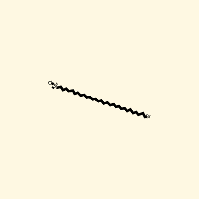 C[Si](C)(Cl)CCCCCCCCCCCCCCCCCCCCCCCCCCCCCCCBr